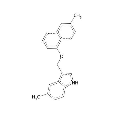 Cc1ccc2c(OCc3c[nH]c4ccc(C)cc34)cccc2c1